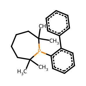 CC1(C)CCCCC(C)(C)P1c1ccccc1-c1ccccc1